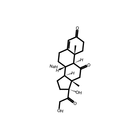 C[C@]12CCC(=O)C=C1CC[C@@H]1[C@@H]2C(=O)C[C@@]2(C)[C@H]1CC[C@]2(O)C(=O)CO.[NaH]